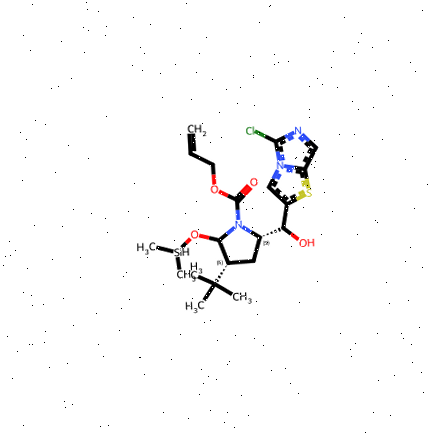 C=CCOC(=O)N1C(O[SiH](C)C)[C@@H](C(C)(C)C)C[C@H]1C(O)c1cn2c(Cl)ncc2s1